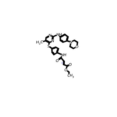 CCOC(=O)/C=C/C(=O)Nc1ccc(Sc2nc(Nc3ccc(N4CCOCC4)cc3)ncc2C)cc1